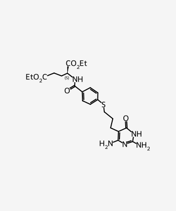 CCOC(=O)CC[C@H](NC(=O)c1ccc(SCCCc2c(N)nc(N)[nH]c2=O)cc1)C(=O)OCC